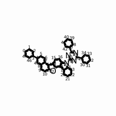 c1ccc(-c2ccc3c(ccc4oc5c(ccc6c5c5ccccc5n6-c5nc(-c6ccccc6)nc(-c6ccccc6)n5)c43)c2)cc1